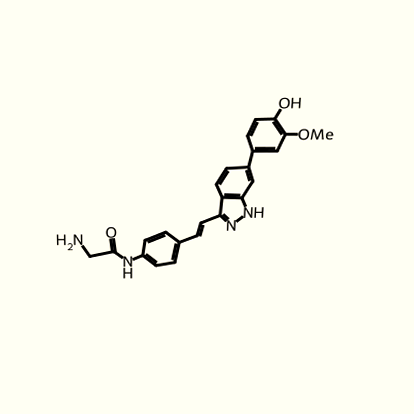 COc1cc(-c2ccc3c(C=Cc4ccc(NC(=O)CN)cc4)n[nH]c3c2)ccc1O